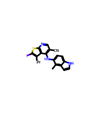 Cc1c(Nc2c(C#N)cnc3sc(I)c(C(C)C)c23)ccc2[nH]ccc12